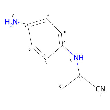 CC(C#N)Nc1ccc(N)cc1